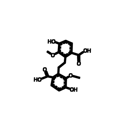 COc1c(O)ccc(C(=O)O)c1CCc1c(C(=O)O)ccc(O)c1OC